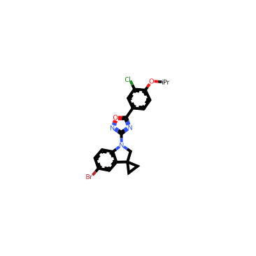 CC(C)Oc1ccc(-c2nc(N3CC4(CC4)c4cc(Br)ccc43)no2)cc1Cl